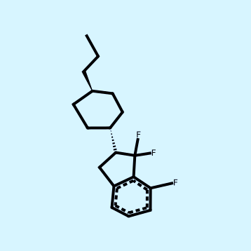 CCC[C@H]1CC[C@H](C2Cc3cccc(F)c3C2(F)F)CC1